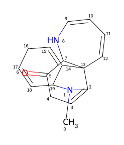 CN1C2=CCC(=O)C3NC=CC=CC23C2=CCC=CC21